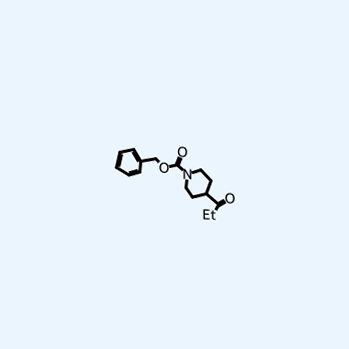 CCC(=O)C1CCN(C(=O)OCc2ccccc2)CC1